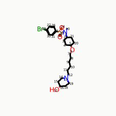 CN(C1CCC(OCCCCCCN2CCC(O)CC2)CC1)S(=O)(=O)c1ccc(Br)cc1